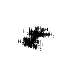 N=C(N)NCCC[C@H](NC(=O)[C@H](CC(N)=O)NC(=O)[C@H](CC(N)=O)NC(=O)[C@H](Cc1ccccc1)NC(=O)[C@@H](N)CC(N)=O)C(=O)N[C@@H](CO)C(=O)N[C@@H](CCN)C(=O)NCC(=O)N[C@@H](Cc1c[nH]cn1)C(=O)N[C@@H](CCCCN)C(=O)N[C@@H](CCCCN)C(=O)N[C@@H](Cc1c[nH]c2ccccc12)C(=O)N[C@@H](CCCCN)C(=O)N[C@@H](CCCCN)C(=O)O